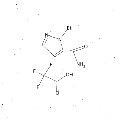 CCn1nccc1C(N)=O.O=C(O)C(F)(F)F